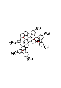 Cc1cc2c3c(c1)N(c1c(-c4ccccc4)cc(C(C)(C)C)cc1-c1ccccc1)c1cc(-n4c5ccc(C#N)cc5c5cc(C(C)(C)C)ccc54)ccc1B3c1ccc(-n3c4ccc(C#N)cc4c4cc(C(C)(C)C)ccc43)cc1N2c1c(-c2ccccc2)cc(C(C)(C)C)cc1-c1ccccc1